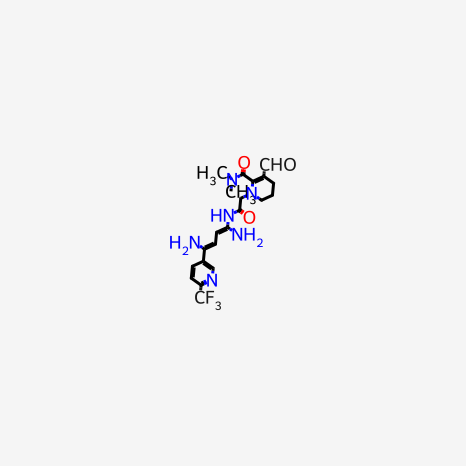 CN(C)C(=O)C1=C(C=O)CCCN1CC(=O)N/C(N)=C/C=C(\N)c1ccc(C(F)(F)F)nc1